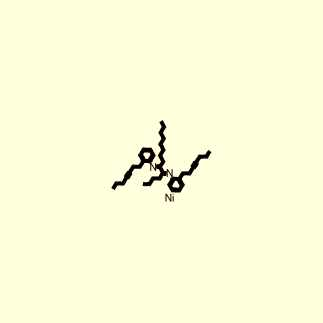 CCCC#CCCc1ccccc1/N=C(CCCC)/C(CCCCCCCC)=N/c1ccccc1CCC#CCCC.[Ni]